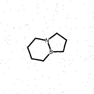 C1CCN2CCCB2C1